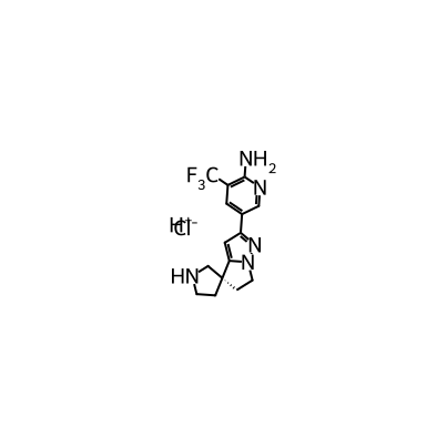 Nc1ncc(-c2cc3n(n2)CC[C@@]32CCNC2)cc1C(F)(F)F.[Cl-].[H+]